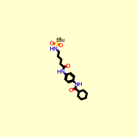 CC(C)(C)S(=O)(=O)NCCCCC(=O)Nc1ccc(NC(=O)C2CCCCC2)cc1